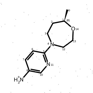 C[C@@H]1CCN(c2ccc(N)cn2)CCO1